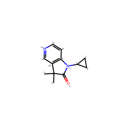 CC1(C)C(=O)N(C2CC2)c2ccncc21